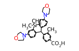 Cc1cc(C(=O)O)ccc1C1c2ccc(N3CCOCC3)cc2[Si](C)(C)c2cc(N3CCOCC3)ccc21